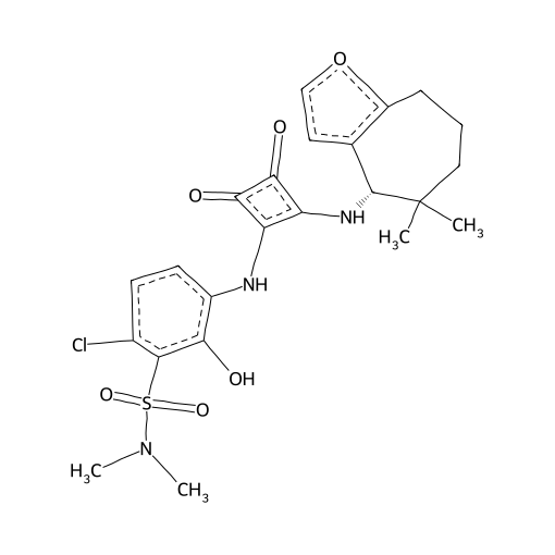 CN(C)S(=O)(=O)c1c(Cl)ccc(Nc2c(N[C@@H]3c4ccoc4CCCC3(C)C)c(=O)c2=O)c1O